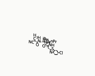 C=C(C#N)C(=O)NC[C@@H](NC(=O)[C@H](Cc1nc2ccc(Cl)cc2s1)NC(=O)CCC)[C@@H](C)CC